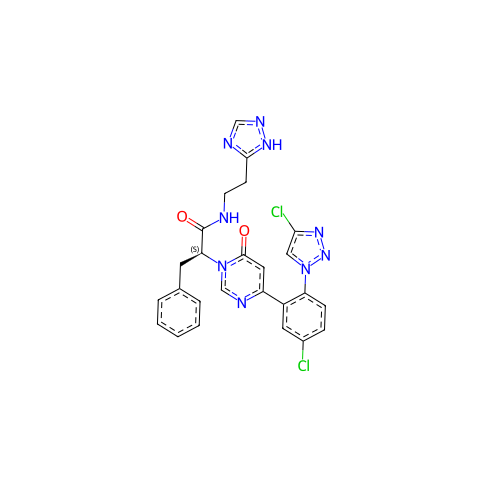 O=C(NCCc1ncn[nH]1)[C@H](Cc1ccccc1)n1cnc(-c2cc(Cl)ccc2-n2cc(Cl)nn2)cc1=O